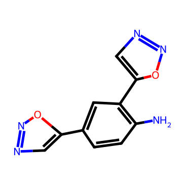 Nc1ccc(-c2cnno2)cc1-c1cnno1